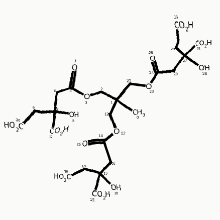 CC(COC(=O)CC(O)(CC(=O)O)C(=O)O)(COC(=O)CC(O)(CC(=O)O)C(=O)O)COC(=O)CC(O)(CC(=O)O)C(=O)O